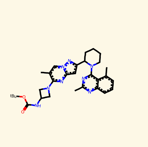 Cc1nc(N2CCCCC2c2cc3nc(N4CC(NC(=O)OC(C)(C)C)C4)c(C)cn3n2)c2c(C)cccc2n1